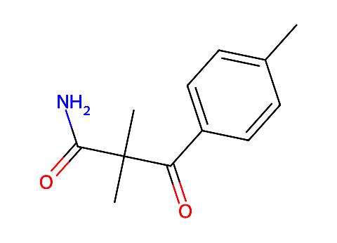 Cc1ccc(C(=O)C(C)(C)C(N)=O)cc1